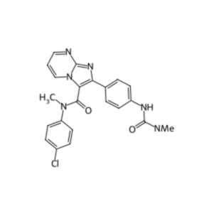 CNC(=O)Nc1ccc(-c2nc3ncccn3c2C(=O)N(C)c2ccc(Cl)cc2)cc1